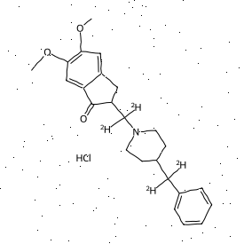 Cl.[2H]C([2H])(c1ccccc1)C1CCN(C([2H])([2H])C2Cc3cc(OC)c(OC)cc3C2=O)CC1